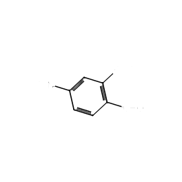 O=[C]c1ccc([N+](=O)[O-])cc1[C]=O